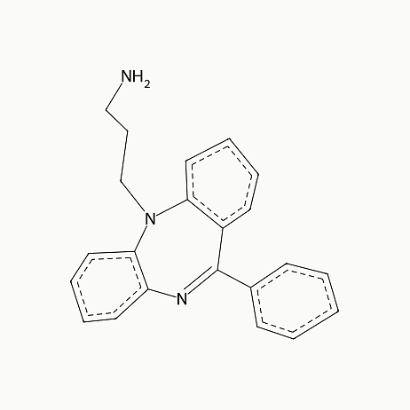 NCCCN1c2ccccc2N=C(c2ccccc2)c2ccccc21